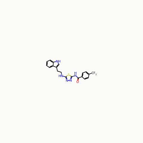 O=C(Nc1nnc(NCCc2c[nH]c3ccccc23)s1)c1ccc(C(F)(F)F)cc1